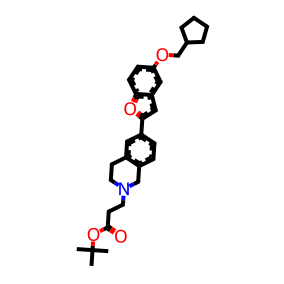 CC(C)(C)OC(=O)CCN1CCc2cc(-c3cc4cc(OCC5CCCC5)ccc4o3)ccc2C1